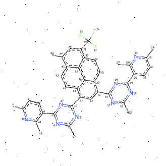 Cc1ccc(-c2nc(C)nc(-c3cc(-c4nc(C)nc(-c5ccc(C)nc5C)n4)c4ccc5c(C(F)(F)F)cc(C)c6ccc3c4c65)n2)c(C)n1